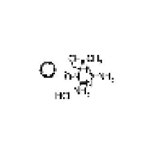 CCC1(CC)N=C(N)N=C(N)N1OCc1ccccc1.Cl